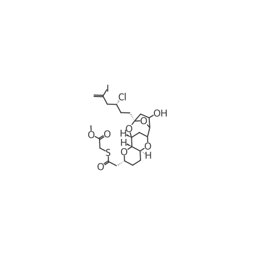 C=C(I)C[C@H](Cl)CC[C@]12CC(O)C(O1)C1C[C@@H](O2)[C@H]2O[C@@H](CC(=O)SCC(=O)OC)CC[C@@H]2O1